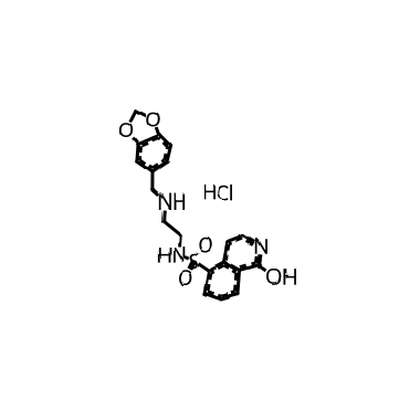 Cl.O=S(=O)(NCCNCc1ccc2c(c1)OCO2)c1cccc2c(O)nccc12